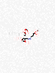 CCCCCCCC1(CC[C@@H]2C(C/C=C\CCCC(=O)OC(C)C)C(O)C[C@H]2O)OCCO1